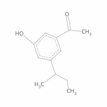 CCC(C)c1cc(O)cc(C(C)=O)c1